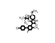 CON1CCC2(CC1)NC(=O)C(c1cc(-c3ccc(Cl)cc3)c(F)cc1C)=C2OC(=O)C(C)(C)C